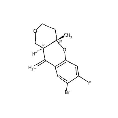 C=C1c2cc(Br)c(F)cc2O[C@@]2(C)CCOC[C@H]12